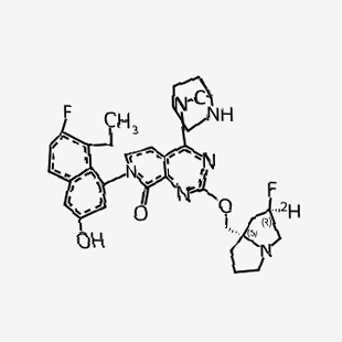 [2H][C@]1(F)CN2CCC[C@@]2(COc2nc(N3CC4CCC3CN4)c3ccn(-c4cc(O)cc5ccc(F)c(CC)c45)c(=O)c3n2)C1